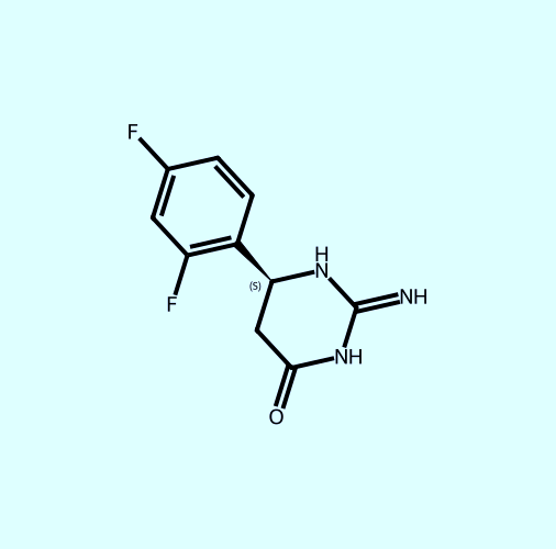 N=C1NC(=O)C[C@@H](c2ccc(F)cc2F)N1